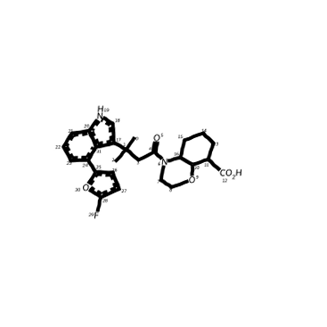 CC(C)(CC(=O)N1CCOC2C(C(=O)O)CCCC21)c1c[nH]c2cccc(-c3ccc(F)o3)c12